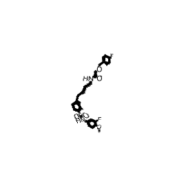 COc1ccc(NS(=O)(=O)c2ccc(CCCCNC(=O)COCc3ccc(F)cc3)cc2)cc1F